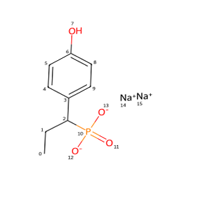 CCC(c1ccc(O)cc1)P(=O)([O-])[O-].[Na+].[Na+]